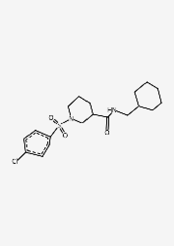 O=C(NCC1CCCCC1)C1CCCN(S(=O)(=O)c2ccc(Cl)cc2)C1